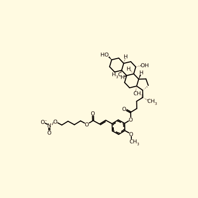 COc1ccc(/C=C/C(=O)OCCCCO[N+](=O)[O-])cc1OC(=O)CC[C@@H](C)[C@H]1CC[C@H]2[C@@H]3[C@@H](O)C[C@@H]4C[C@H](O)CC[C@]4(C)[C@H]3CC[C@]12C